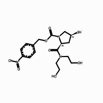 O=C([C@@H]1C[C@H](S)CN1C(=O)OCc1ccc([N+](=O)[O-])cc1)N(CCO)CCO